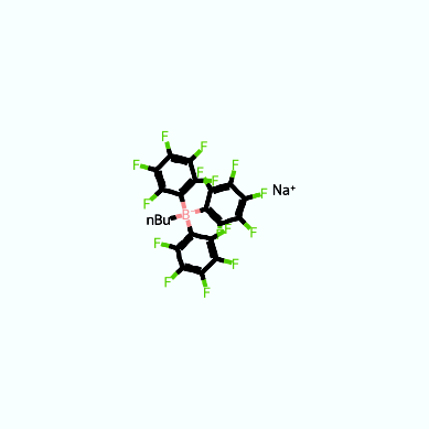 CCCC[B-](c1c(F)c(F)c(F)c(F)c1F)(c1c(F)c(F)c(F)c(F)c1F)c1c(F)c(F)c(F)c(F)c1F.[Na+]